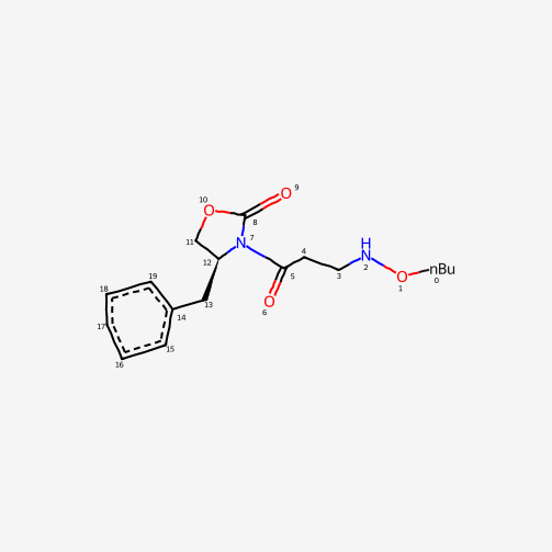 CCCCONCCC(=O)N1C(=O)OC[C@@H]1Cc1ccccc1